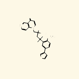 COc1ccc(-c2ccsc2)cc1C(C)(C)CC(O)(Cn1ccc(=O)c2cnccc21)C(F)(F)F